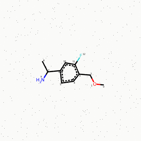 COCc1ccc(C(C)N)cc1F